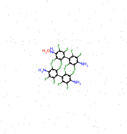 Nc1c(F)c(F)c(-c2c(F)c(F)c(N)c(F)c2F)c(F)c1F.Nc1c(F)c(F)c(-c2c(F)c(F)c(N)c(F)c2F)c(F)c1F.O